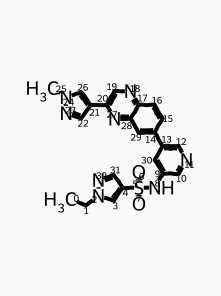 CCn1cc(S(=O)(=O)Nc2cncc(-c3ccc4ncc(-c5cnn(C)c5)nc4c3)c2)cn1